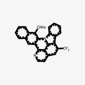 COc1c2ccccc2cc2c3nccc4cc(C(F)(F)F)c5c6ccccc6n(c12)c5c43